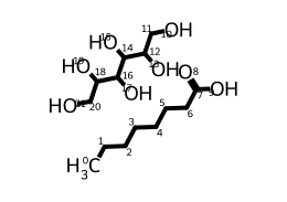 CCCCCCCC(=O)O.OCC(O)C(O)C(O)C(O)CO